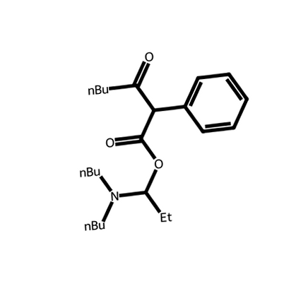 CCCCC(=O)C(C(=O)OC(CC)N(CCCC)CCCC)c1ccccc1